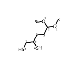 COC(CCC(S)CS)OC